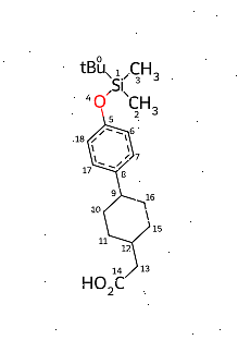 CC(C)(C)[Si](C)(C)Oc1ccc(C2CCC(CC(=O)O)CC2)cc1